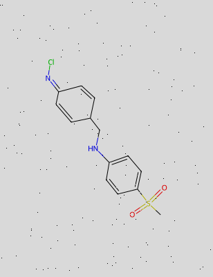 CS(=O)(=O)c1ccc(NCC2C=CC(=NCl)C=C2)cc1